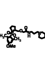 COc1cc(C)c(S(=O)(=O)N2CCCC2COCC(=O)NCCCN2CCCCC2)c(C)c1